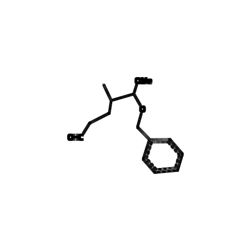 COC(OCc1ccccc1)C(C)CCC=O